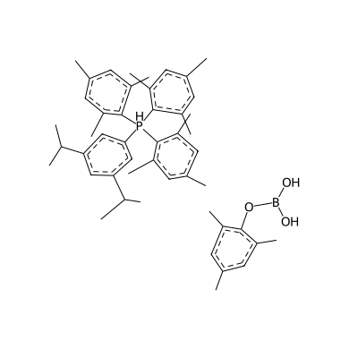 Cc1cc(C)c(OB(O)O)c(C)c1.Cc1cc(C)c([PH](c2cc(C(C)C)cc(C(C)C)c2)(c2c(C)cc(C)cc2C)c2c(C)cc(C)cc2C)c(C)c1